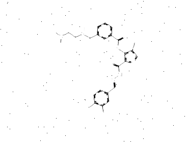 CCN(CC)CCNCc1cccc(C(=O)Nc2c(C)csc2C(=O)N/N=C/c2ccc(Cl)c(C(F)(F)F)c2)c1